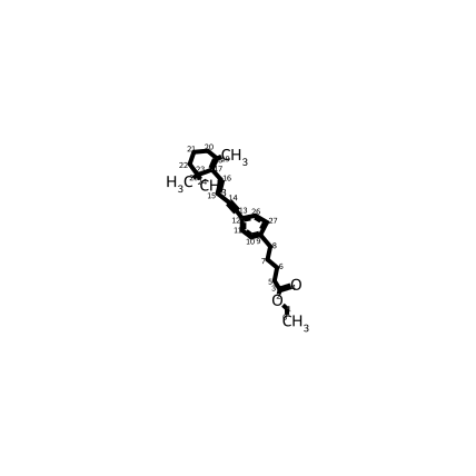 CCOC(=O)CCCCc1ccc(C#CC=CC2=C(C)CCCC2(C)C)cc1